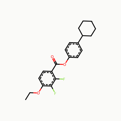 CCOc1ccc(C(=O)Oc2ccc(C3CC[CH]CC3)cc2)c(F)c1F